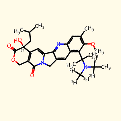 [2H]C([2H])([2H])N(C([2H])([2H])C)C(C)(C)c1c(OC)c(C)cc2nc3c(cc12)Cn1c-3cc2c(c1=O)COC(=O)[C@]2(O)CC(C)C